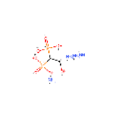 N.N.N.N.O=P(O)(O)C(CO)P(=O)(O)O